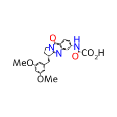 COc1cc(/C=C2\CCn3c2nc2cc(NC(=O)C(=O)O)ccc2c3=O)cc(OC)c1